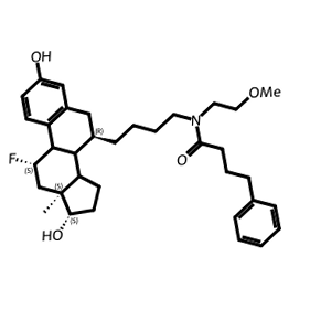 COCCN(CCCC[C@@H]1Cc2cc(O)ccc2C2C1C1CC[C@H](O)[C@@]1(C)C[C@@H]2F)C(=O)CCCc1ccccc1